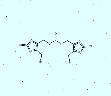 O=c1oc(CBr)c(CO[N+](=O)OCc2oc(=O)oc2CBr)o1